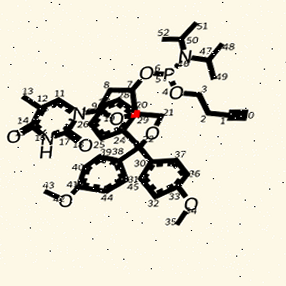 C#CCCOP(OC1CC(n2cc(C)c(=O)[nH]c2=O)OC1COC(c1ccccc1)(c1ccc(OC)cc1)c1ccc(OC)cc1)N(C(C)C)C(C)C